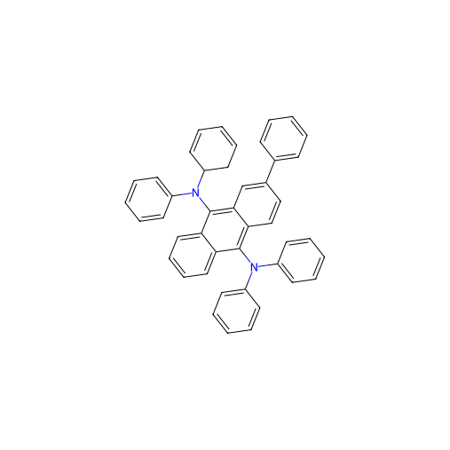 C1=CCC(N(c2ccccc2)c2c3ccccc3c(N(c3ccccc3)c3ccccc3)c3ccc(-c4ccccc4)cc23)C=C1